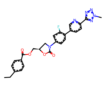 CCc1ccc(C(=O)OC[C@H]2CN(c3ccc(-c4ccc(-c5nnn(C)n5)nc4)c(F)c3)C(=O)O2)cc1